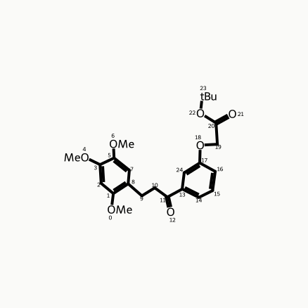 COc1cc(OC)c(OC)cc1CCC(=O)c1cccc(OCC(=O)OC(C)(C)C)c1